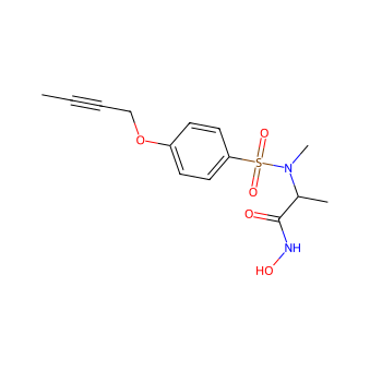 CC#CCOc1ccc(S(=O)(=O)N(C)C(C)C(=O)NO)cc1